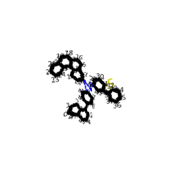 c1ccc2c(-c3ccc(N(c4ccc5c(ccc6ccc7ccccc7c65)c4)c4ccc5sc6ccccc6c5c4)cc3)cccc2c1